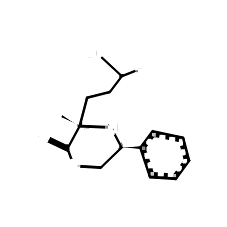 CCC(CC)CC[C@]1(C)N[C@@H](c2ccccc2)COC1=O